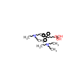 CCCCN(CCCC)CCCC.CCCCN(CCCC)CCCC.OB(O)OCCCCCC(c1ccccc1)(c1ccccc1)c1ccccc1